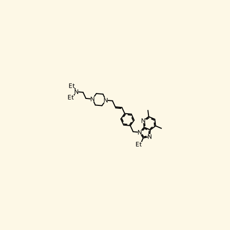 CCc1nc2c(C)cc(C)nc2n1Cc1ccc(/C=C/CN2CCN(CCN(CC)CC)CC2)cc1